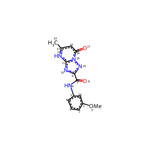 COc1cccc(NC(=O)c2nc3[nH]c(C)cc(=O)n3n2)c1